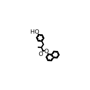 CC(Cc1ccc(O)cc1)C(=O)Oc1cccc2ccccc12